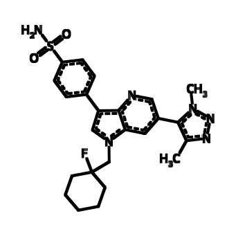 Cc1nnn(C)c1-c1cnc2c(-c3ccc(S(N)(=O)=O)cc3)cn(CC3(F)CCCCC3)c2c1